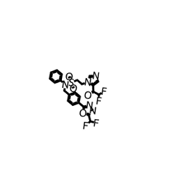 O=C(c1cncn1CCS(=O)(=O)N(Cc1ccc(-c2nnc(C(F)F)o2)cc1)c1ccccc1)C(F)F